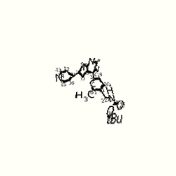 Cc1cc(-c2ncnn3cc(-c4ccncc4)cc23)ccc1CNC(=O)OC(C)(C)C